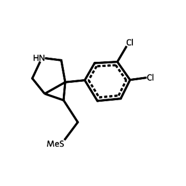 CSCC1C2CNCC21c1ccc(Cl)c(Cl)c1